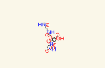 CNC(=O)CCCNC(=O)COc1cccc2c1C(=O)N(C1CCC(=O)NC1=O)C2=O.O=CO